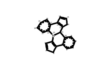 C1=CC2=C(C1)c1ccccc1C1C3=C(C=CC3)c3ccccc3N21